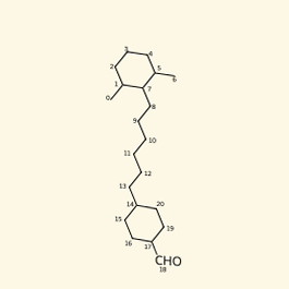 CC1CCCC(C)C1CCCCCCC1CCC(C=O)CC1